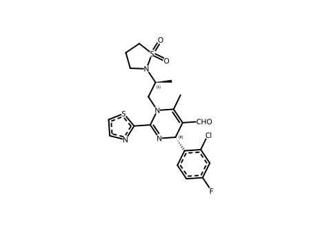 CC1=C(C=O)[C@H](c2ccc(F)cc2Cl)N=C(c2nccs2)N1C[C@H](C)N1CCCS1(=O)=O